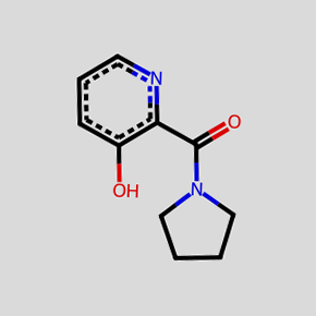 O=C(c1ncccc1O)N1CCCC1